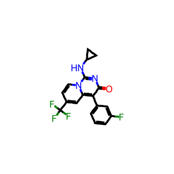 O=c1nc(NC2CC2)n2ccc(C(F)(F)F)cc2c1-c1cccc(F)c1